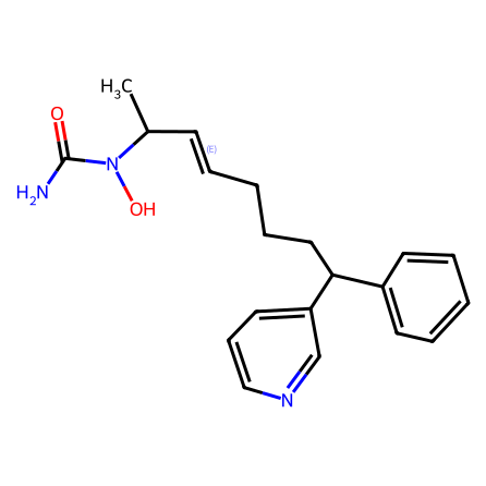 CC(/C=C/CCCC(c1ccccc1)c1cccnc1)N(O)C(N)=O